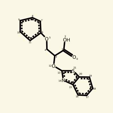 O=C(O)C(COc1ccccc1)Oc1nc2ccccc2s1